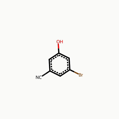 N#Cc1cc(O)cc(Br)c1